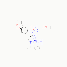 COCCNC(=O)N(c1ccc(OC)cc1)c1ccnc(NC(C)C)n1